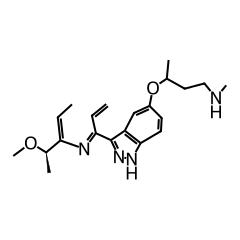 C=C/C(=N\C(=C/C)[C@@H](C)OC)c1n[nH]c2ccc(OC(C)CCNC)cc12